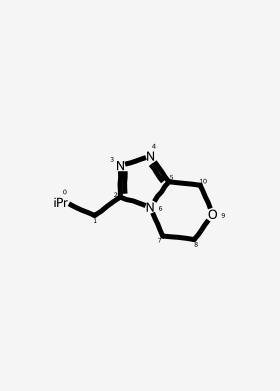 CC(C)Cc1nnc2n1CCOC2